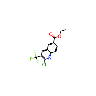 CCOC(=O)c1ccc2nc(Cl)c(C(F)(F)F)cc2c1